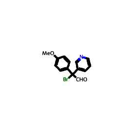 COc1ccc(C(Br)(C=O)c2cccnc2)cc1